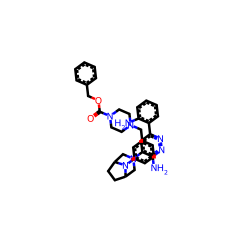 Nc1ccccc1-c1cc(N2CC3CCC(C2)N3c2cccc(CN3CCN(C(=O)OCc4ccccc4)CC3)c2)c(N)nn1